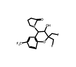 O=C1CCCN1C1c2cc(C(F)(F)F)ccc2OC(CF)(CF)C1O